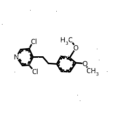 COc1ccc(CCc2c(Cl)cncc2Cl)cc1OC